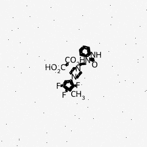 Cc1c(F)c(F)cc(N2CCN(CCn3c(=O)[nH]c4ccccc43)CC2)c1F.O=C(O)CC(=O)O